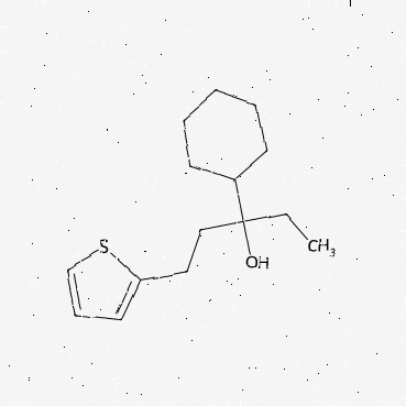 CCC(O)(CCc1cccs1)C1CCCCC1